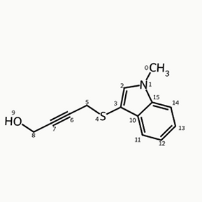 Cn1cc(SCC#CCO)c2ccccc21